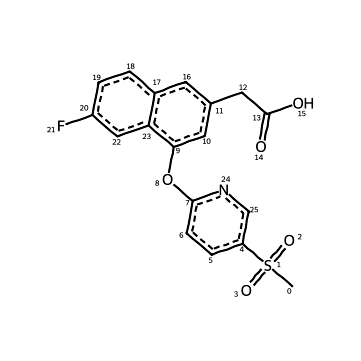 CS(=O)(=O)c1ccc(Oc2cc(CC(=O)O)cc3ccc(F)cc23)nc1